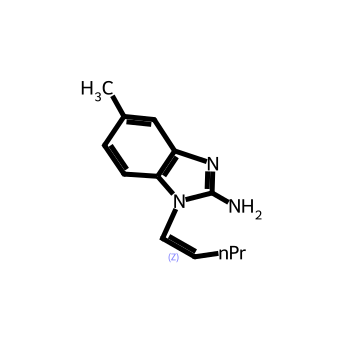 CCC/C=C\n1c(N)nc2cc(C)ccc21